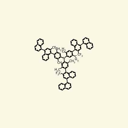 Cc1cc(N(c2cc(C)c(-c3c(C(F)(F)F)cc(-c4cccc5ccccc45)c4ccccc34)cc2C)c2cc(C)c(-c3c(C(F)(F)F)cc(-c4cccc5ccccc45)c4ccccc34)cc2C)c(C)cc1-c1c(C(F)(F)F)cc(-c2cccc3ccccc23)c2ccccc12